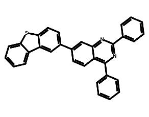 c1ccc(-c2nc(-c3ccccc3)c3ccc(-c4ccc5sc6ccccc6c5c4)cc3n2)cc1